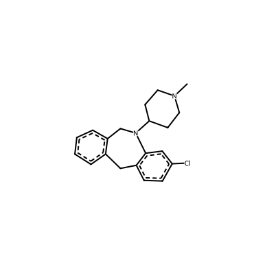 CN1CCC(N2Cc3ccccc3Cc3ccc(Cl)cc32)CC1